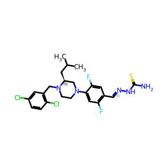 CC(C)C[C@H]1CN(c2cc(F)c(/C=N/NC(N)=S)cc2F)CCN1Cc1cc(Cl)ccc1Cl